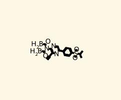 BC(=O)N(C(B)=O)c1ncc(-c2ccc(S(=O)(=O)C(C)C)cc2)nc1C#C